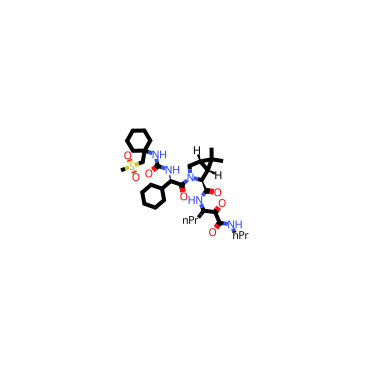 CCCNC(=O)C(=O)C(CCC)NC(=O)[C@@H]1[C@@H]2[C@H](CN1C(=O)[C@@H](NC(=O)NC1(CS(C)(=O)=O)CCCCC1)C1CCCCC1)C2(C)C